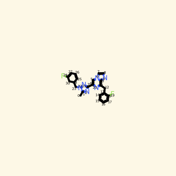 Cc1nc(-c2cn3ccnc3c(Cc3ccccc3F)n2)nn1CC1C=CC=C(F)C1